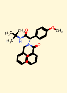 COc1ccc([C@@H](C(=O)NC(C)(C)C)N(Cc2ccccc2)C(=O)c2ccccc2)cc1